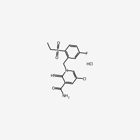 CCS(=O)(=O)c1ccc(F)cc1Cn1cc(Cl)cc(C(N)=O)c1=N.Cl